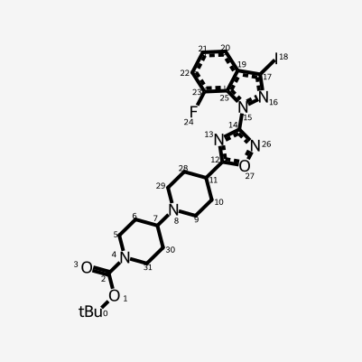 CC(C)(C)OC(=O)N1CCC(N2CCC(c3nc(-n4nc(I)c5cccc(F)c54)no3)CC2)CC1